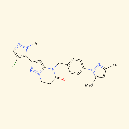 COc1cc(C#N)nn1-c1ccc(CN2C(=O)CCn3nc(-c4c(Cl)cnn4C(C)C)cc32)cc1